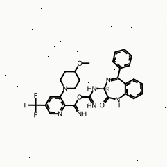 COC1CCN(c2cc(C(F)(F)F)cnc2C(=N)OC(=N)N[C@H]2N=C(c3ccccc3)c3ccccc3NC2=O)CC1